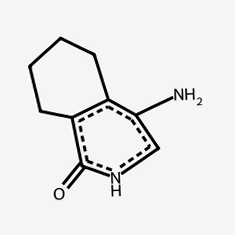 Nc1c[nH]c(=O)c2c1CCCC2